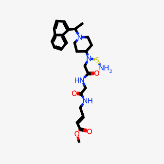 COC(=O)/C=C/CNC(=O)CNC(=O)CN(SN)C1CCN(C(C)c2cccc3ccccc23)CC1